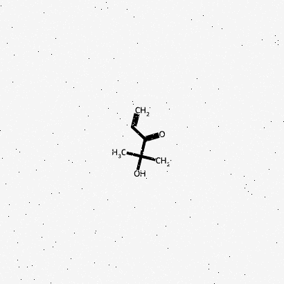 [CH2]C(C)(O)C(=O)C=C